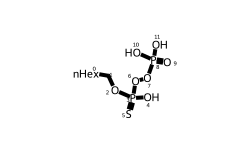 CCCCCCCOP(O)(=S)OOP(=O)(O)O